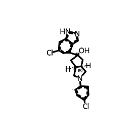 O[C@@]1(c2cc(Cl)cc3[nH]ncc23)C[C@H]2CN(c3[c]cc(Cl)cc3)C[C@H]2C1